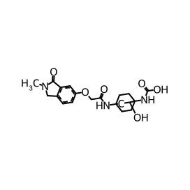 CN1Cc2ccc(OCC(=O)NC34CCC(NC(=O)O)(CC3)C(O)C4)cc2C1=O